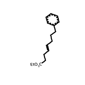 CCOC(=O)CC/C=C/CCCc1ccccc1